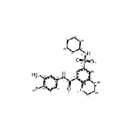 Cc1cc(NC(=O)c2cc(S(=O)(=O)NC3CCCCC3)cc3c2OCCO3)ccc1F